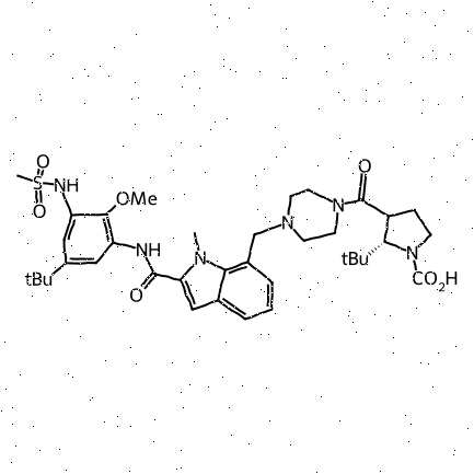 COc1c(NC(=O)c2cc3cccc(CN4CCN(C(=O)C5CCN(C(=O)O)[C@@H]5C(C)(C)C)CC4)c3n2C)cc(C(C)(C)C)cc1NS(C)(=O)=O